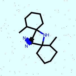 CC1CCCCC1(C#N)NC1(C#N)CCCCC1C